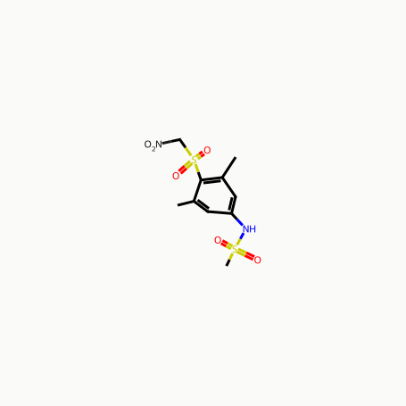 Cc1cc(NS(C)(=O)=O)cc(C)c1S(=O)(=O)C[N+](=O)[O-]